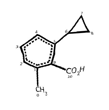 Cc1cccc(C2CC2)c1C(=O)O